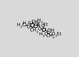 C=CCOc1c(C)c(C)c2c(c1C)CCC(C)(COc1ccc(C(O)C(C)(C)C(=O)OCC)cc1OCC)O2